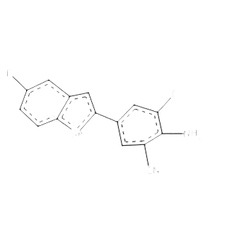 N#Cc1cc(-c2cc3cc(F)ccc3[se]2)cc(F)c1N